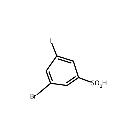 O=S(=O)(O)c1cc(Br)cc(I)c1